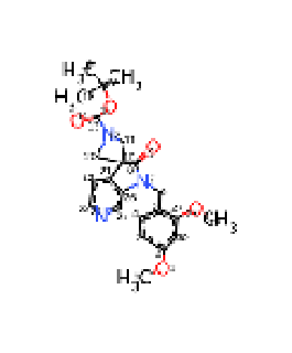 COc1ccc(CN2C(=O)C3(CN(C(=O)OC(C)(C)C)C3)c3ccncc32)c(OC)c1